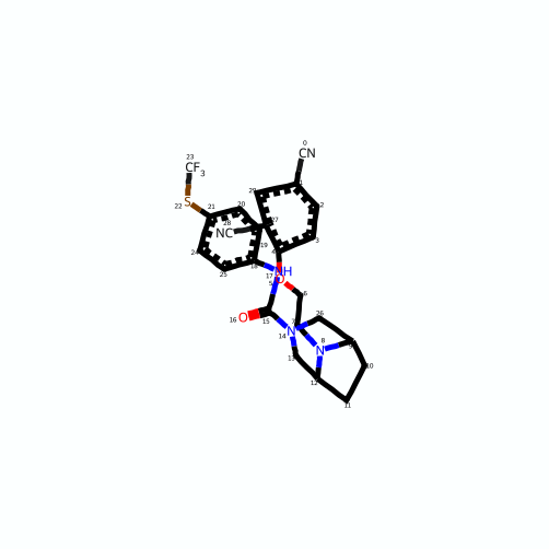 N#Cc1ccc(OCCN2C3CCC2CN(C(=O)Nc2ccc(SC(F)(F)F)cc2)C3)c(C#N)c1